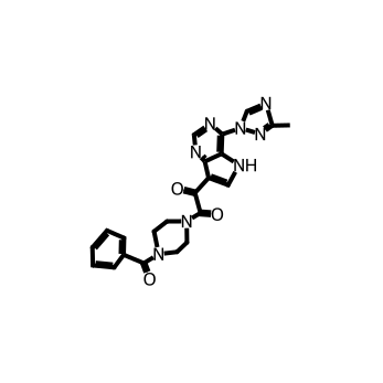 Cc1ncn(-c2ncnc3c(C(=O)C(=O)N4CCN(C(=O)c5ccccc5)CC4)c[nH]c23)n1